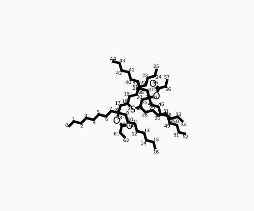 CCCCCCCCC(CCCCCCCC)(CC(CCCCCCC)SC(CCCCCCC)CC(CCCCCCCC)(CCCCCCCC)OC(=O)CC)OC(=O)CC